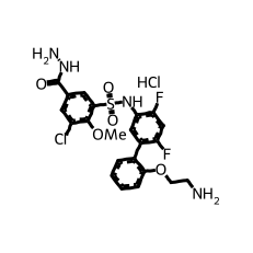 COc1c(Cl)cc(C(=O)NN)cc1S(=O)(=O)Nc1cc(-c2ccccc2OCCN)c(F)cc1F.Cl